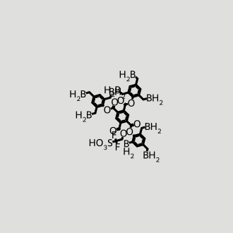 BCc1cc(B)c(OC(=O)c2cc(C(=O)Oc3c(CB)cc(CB)cc3CB)c(C(=O)Oc3c(CB)cc(CB)cc3CB)cc2C(=O)OCC(F)(F)S(=O)(=O)O)c(CB)c1